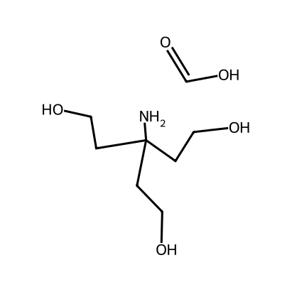 NC(CCO)(CCO)CCO.O=CO